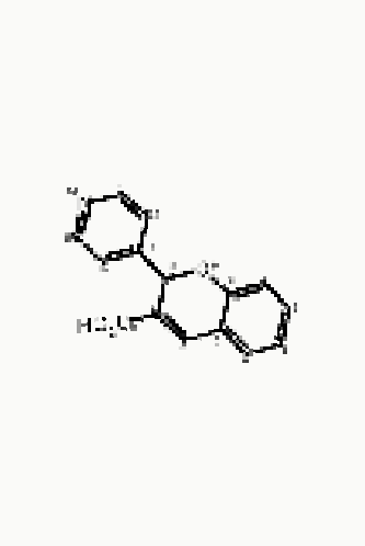 O=C(O)C1=Cc2ccccc2OC1c1ccncc1